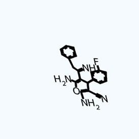 N#CC1=C(N)OC(N)=C(C(=N)Cc2ccccc2)C1c1cccc(F)c1